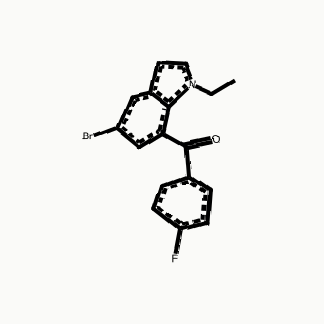 CCn1ccc2cc(Br)cc(C(=O)c3ccc(F)cc3)c21